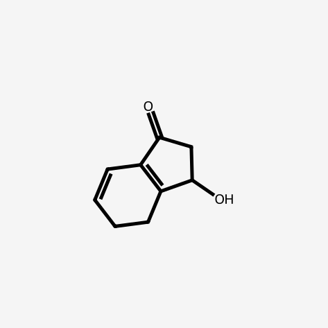 O=C1CC(O)C2=C1C=CCC2